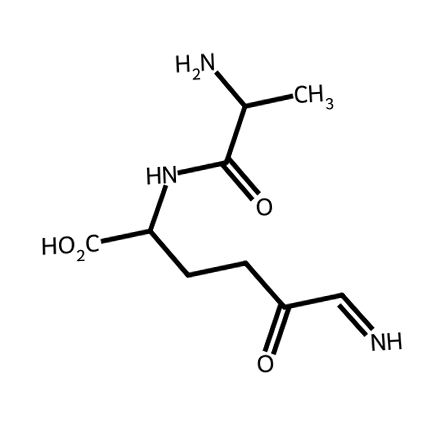 CC(N)C(=O)NC(CCC(=O)C=N)C(=O)O